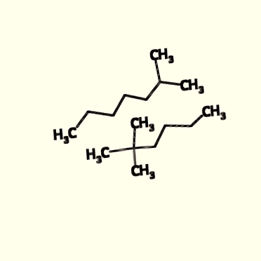 CCCCC(C)(C)C.CCCCCC(C)C